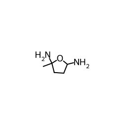 CC1(N)CCC(N)O1